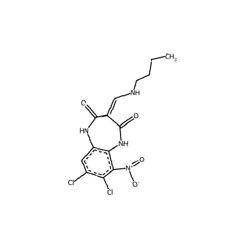 CCCCNC=C1C(=O)Nc2cc(Cl)c(Cl)c([N+](=O)[O-])c2NC1=O